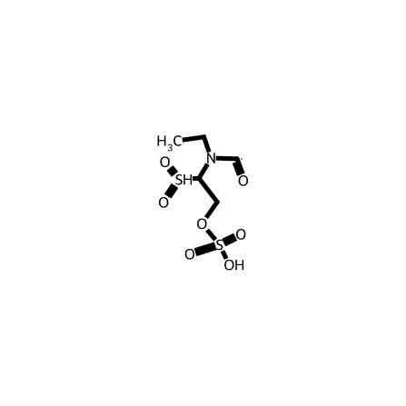 CCN([C]=O)C(COS(=O)(=O)O)[SH](=O)=O